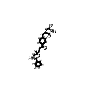 CC1(CCC(=O)c2ccc(CC3SC(=O)NC3=O)cc2)CNC(c2ccccc2)O1